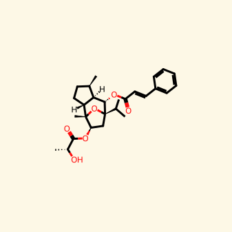 CC(C)[C@@]12C[C@@H](OC(=O)[C@@H](C)O)[C@@](C)(O1)[C@@H]1CC[C@@H](C)[C@H]1[C@@H]2OC(=O)/C=C/c1ccccc1